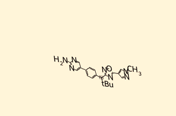 Cn1cc(-c2nc([C@H](c3ccc(-c4cnc(N)nc4)cc3)C(C)(C)C)no2)cn1